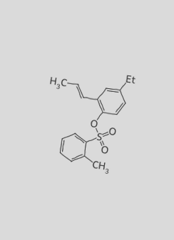 CC=Cc1cc(CC)ccc1OS(=O)(=O)c1ccccc1C